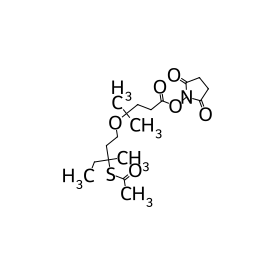 CCC(C)(CCOC(C)(C)CCC(=O)ON1C(=O)CCC1=O)SC(C)=O